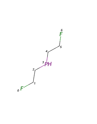 FCCPCCF